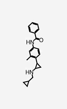 Cc1cc(NC(=O)c2ccccc2)ccc1C1CC1NCC1CC1